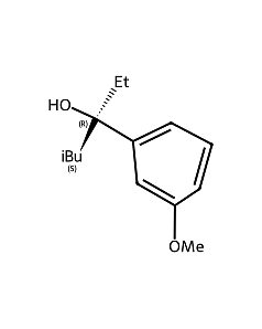 CC[C@H](C)[C@](O)(CC)c1cccc(OC)c1